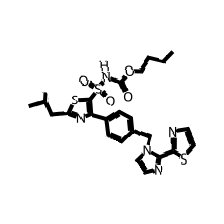 CCCCOC(=O)NS(=O)(=O)c1sc(CC(C)C)nc1-c1ccc(Cn2ccnc2-c2nccs2)cc1